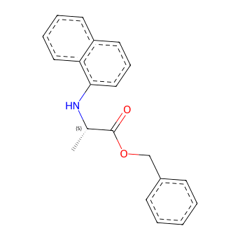 C[C@H](Nc1cccc2ccccc12)C(=O)OCc1ccccc1